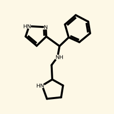 c1ccc(C(NCC2CCCN2)c2cc[nH]n2)cc1